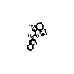 O=C(Nc1cnc2ccccc2c1)c1c[nH]c2c1-c1ncncc1CCC2